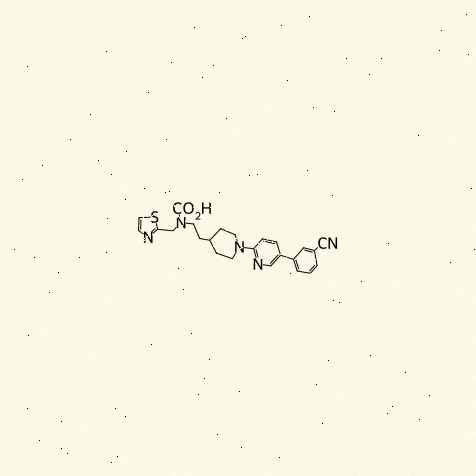 N#Cc1cccc(-c2ccc(N3CCC(CCN(Cc4nccs4)C(=O)O)CC3)nc2)c1